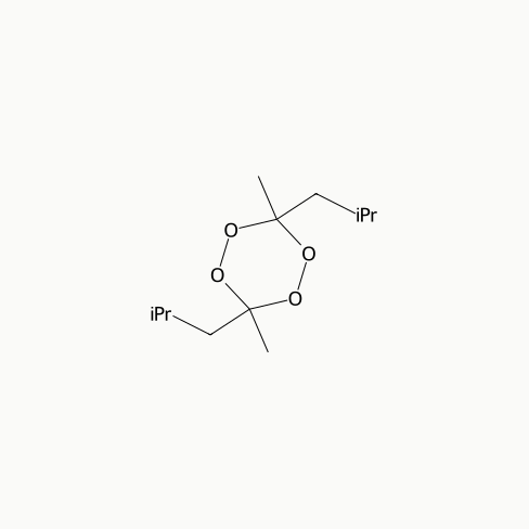 CC(C)CC1(C)OOC(C)(CC(C)C)OO1